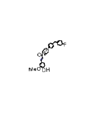 COc1cc(/C=C/C(=O)N2CCN(c3ccc(Cc4ccc(F)cc4)cc3)CC2)ccc1O